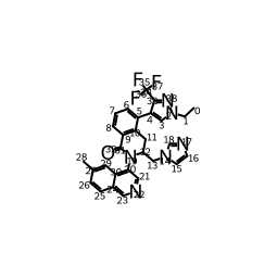 CCn1cc(-c2cccc3c2CC(Cn2ccnc2)N(c2cncc4ccc(C)cc24)C3=O)c(C(F)(F)F)n1